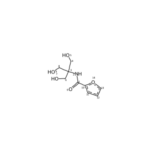 O=C(NC(CO)(CO)CO)c1ccco1